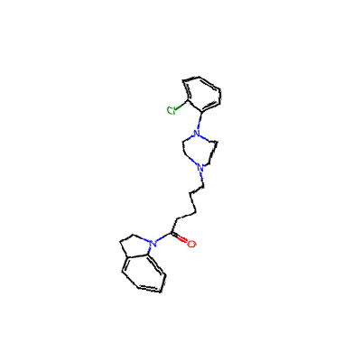 O=C(CCCCN1CCN(c2ccccc2Cl)CC1)N1CCc2ccccc21